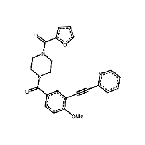 COc1ccc(C(=O)N2CCN(C(=O)c3ccco3)CC2)cc1C#Cc1ccccn1